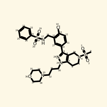 CS(=O)(=O)N1CCc2c(c(-c3ccc(Cl)c(CNS(=O)(=O)c4ccccc4)c3)nn2CCCN2CCOCC2)C1